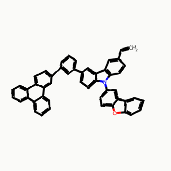 C=Cc1ccc2c(c1)c1cc(-c3cccc(-c4ccc5c6ccccc6c6ccccc6c5c4)c3)ccc1n2-c1ccc2oc3ccccc3c2c1